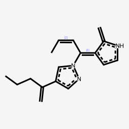 C=C(CCC)c1cnn(C(/C=C\C)=c2\cc[nH]c2=C)c1